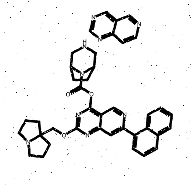 O=C(Oc1nc(OCC23CCCN2CCC3)nc2cc(-c3cccc4ccccc34)ncc12)N1C2CCC1CNC2.c1cc2ncncc2cn1